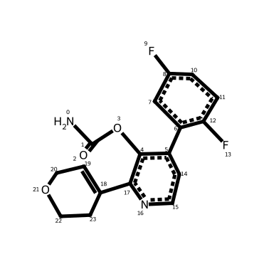 NC(=O)Oc1c(-c2cc(F)ccc2F)ccnc1C1=CCOCC1